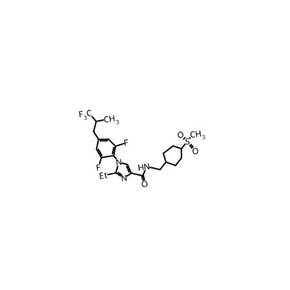 CCc1nc(C(=O)NCC2CCC(S(C)(=O)=O)CC2)cn1-c1c(F)cc(CC(C)C(F)(F)F)cc1F